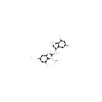 CCNn1c(Nc2c[nH]c3c(F)cc(F)cc23)nc2cc(C(F)(F)F)cc(F)c21